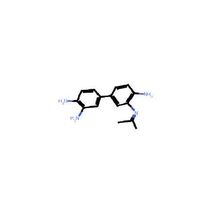 CC(C)=Nc1cc(-c2ccc(N)c(N)c2)ccc1N